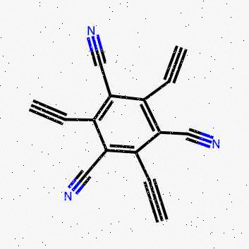 C#Cc1c(C#N)c(C#C)c(C#N)c(C#C)c1C#N